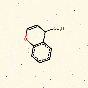 O=C(O)C1C=COc2ccccc21